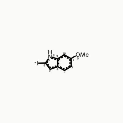 COc1ccc2cc(I)[nH]c2c1